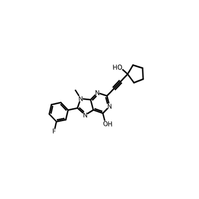 Cn1c(-c2cccc(F)c2)nc2c(O)nc(C#CC3(O)CCCC3)nc21